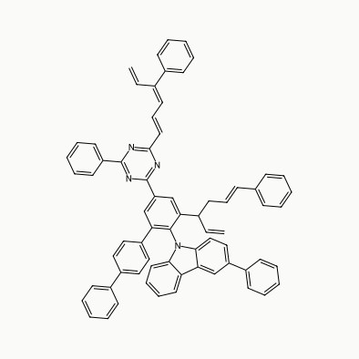 C=C/C(=C\C=C\c1nc(-c2ccccc2)nc(-c2cc(-c3ccc(-c4ccccc4)cc3)c(-n3c4ccccc4c4cc(-c5ccccc5)ccc43)c(C(C=C)C/C=C/c3ccccc3)c2)n1)c1ccccc1